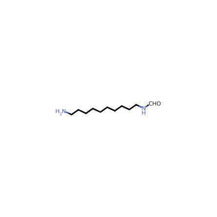 NCCCCCCCCCCNC=O